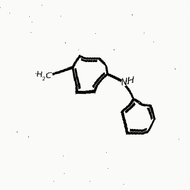 [CH2]c1ccc(Nc2ccccc2)cc1